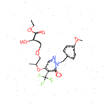 CCOC(=O)C(O)COCC(C)Oc1cnn(Cc2ccc(OC)cc2)c(=O)c1C(F)(F)F